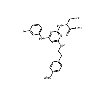 COC(=O)[C@H](CC(C)C)Nc1nc(NCCc2ccc(OC)cc2)nc(Nc2cccc(F)c2)n1